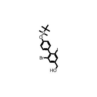 CC(C)(C)[Si](C)(C)Oc1ccc(-c2c(Br)cc(CO)cc2I)cc1